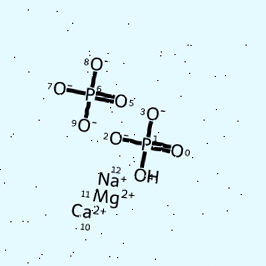 O=P([O-])([O-])O.O=P([O-])([O-])[O-].[Ca+2].[Mg+2].[Na+]